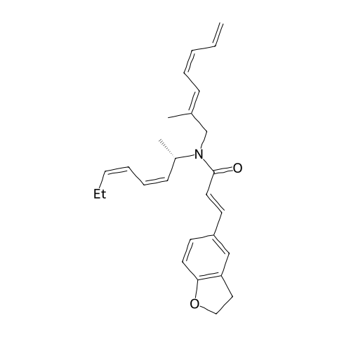 C=C/C=C\C=C(/C)CN(C(=O)/C=C/c1ccc2c(c1)CCO2)[C@@H](C)/C=C\C=C/CC